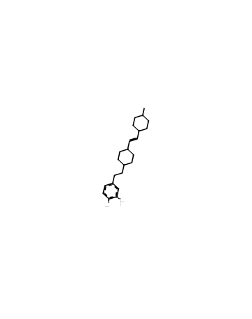 CC1CCC(C=CC2CCC(CCc3ccc(F)c(F)c3)CC2)CC1